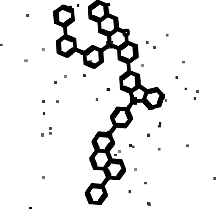 c1ccc(-c2cccc(-c3cccc(N4c5cc(-c6ccc7c(c6)c6ccccc6n7-c6ccc(-c7ccc8ccc9c(-c%10ccccc%10)cccc9c8c7)cc6)ccc5Oc5cc6ccccc6cc54)c3)c2)cc1